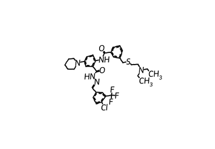 CCN(CC)CCSCc1cccc(C(=O)Nc2ccc(N3CCCCC3)cc2C(=O)N/N=C/c2ccc(Cl)c(C(F)(F)F)c2)c1